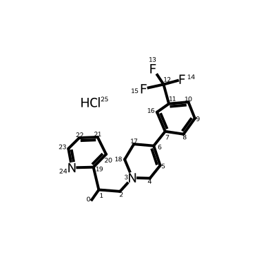 CC(CN1CC=C(c2cccc(C(F)(F)F)c2)CC1)c1ccccn1.Cl